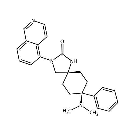 CN(C)[C@]1(c2ccccc2)CC[C@@]2(CC1)CN(c1cccc3cnccc13)C(=O)N2